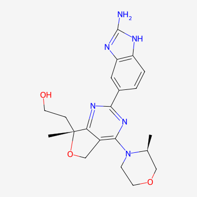 C[C@H]1COCCN1c1nc(-c2ccc3[nH]c(N)nc3c2)nc2c1CO[C@]2(C)CCO